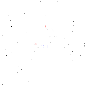 O=C1C=CC=C(CCNC(=O)C2CCCC2)C1